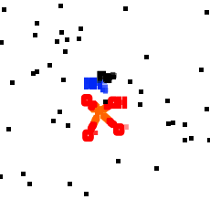 O=P([O-])([O-])O.[Fe+].[NH4+]